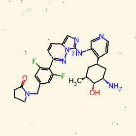 C[C@H]1C[C@@H](c2ccncc2Nc2ncc3ccc(-c4c(F)cc(CN5CCCC5=O)cc4F)nn23)C[C@@H](N)[C@H]1O